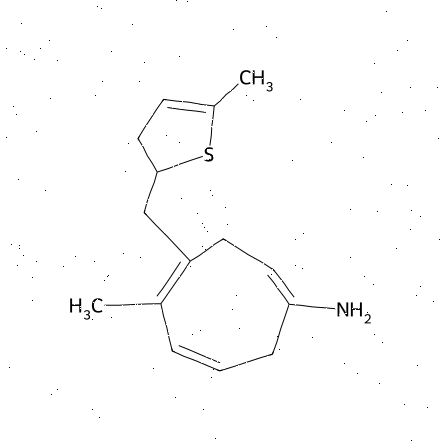 CC1=CCC(C/C2=C(\C)C=CC/C(N)=C\C2)S1